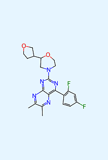 Cc1nc2nc(N3CCOC(C4CCOC4)C3)nc(-c3ccc(F)cc3F)c2nc1C